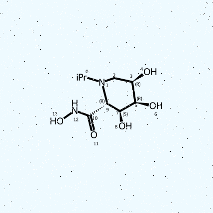 CC(C)N1C[C@@H](O)[C@@H](O)[C@@H](O)[C@@H]1C(=O)NO